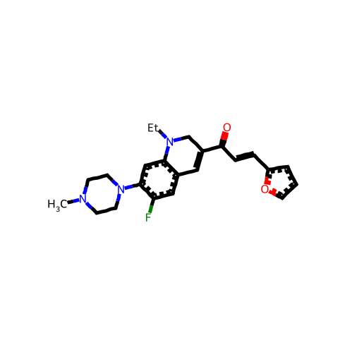 CCN1CC(C(=O)C=Cc2ccco2)=Cc2cc(F)c(N3CCN(C)CC3)cc21